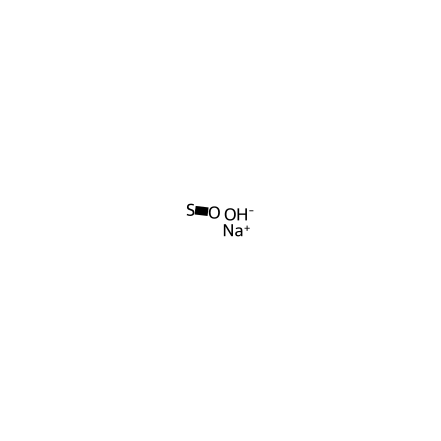 O=S.[Na+].[OH-]